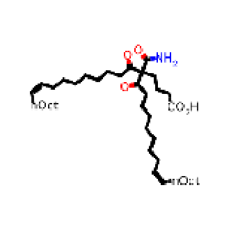 CCCCCCCC/C=C\CCCCCCCC(=O)C(CCCC(=O)O)(C(N)=O)C(=O)CCCCCCC/C=C\CCCCCCCC